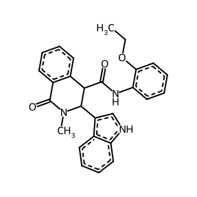 CCOc1ccccc1NC(=O)C1c2ccccc2C(=O)N(C)C1c1c[nH]c2ccccc12